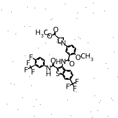 COC(=O)C1CN(c2ccc(OC)c(C(=O)Nc3c(C(=O)Nc4ccc(F)c(C(F)(F)F)c4)sc4cc(C(F)(F)F)ccc34)c2)C1